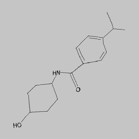 CC(C)c1ccc(C(=O)NC2CCC(O)CC2)cc1